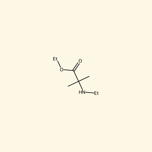 CCNC(C)(C)C(=O)OCC